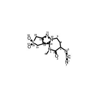 CN1C(=O)C(N=[N+]=[N-])CCn2nc3c(c21)CS(=O)(=O)C3